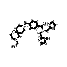 CC(C)CN1CCOC2(CCN(Cc3ccc(C(=O)N(Cc4ncc[nH]4)Cc4ncc[nH]4)cc3)CC2)C1